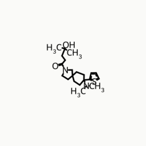 CN(C)C1(c2cccs2)CCC2(CCN(C(=O)CCC(C)(C)O)C2)CC1